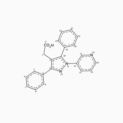 O=C(O)Cc1c(-c2ccccc2)nn(-c2cccnc2)c1-c1ccccc1